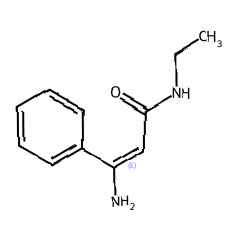 CCNC(=O)/C=C(/N)c1ccccc1